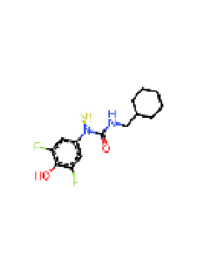 O=C(NCC1CCCCC1)N(S)c1cc(F)c(O)c(F)c1